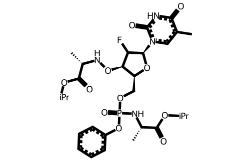 Cc1cn([C@H]2O[C@@H](COP(=O)(N[C@@H](C)C(=O)OC(C)C)Oc3ccccc3)[C@@H](ON[C@@H](C)C(=O)OC(C)C)C2F)c(=O)[nH]c1=O